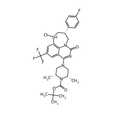 C[C@@H]1CN(c2nc(=O)n3c4c(cc(C(F)(F)F)cc24)[SH](Cl)C[C@H](c2ccc(F)cc2)C3)C[C@H](C)N1C(=O)OC(C)(C)C